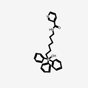 O=C(NCCCCCCP(O)(c1ccccc1)(c1ccccc1)c1ccccc1)c1cccnc1